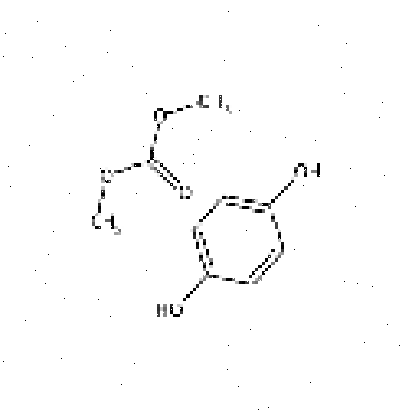 COC(=O)OC.Oc1ccc(O)cc1